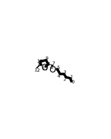 CCCCCCOC[C@H]1CC[C@H](C)O1